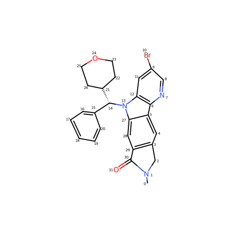 CN1Cc2cc3c4ncc(Br)cc4n([C@H](c4ccccc4)C4CCOCC4)c3cc2C1=O